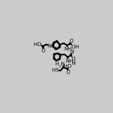 NC(CS)C(=O)O.NC(Cc1ccccc1)C(=O)O.NC(Cc1ccccc1)C(=O)O.NCC(=O)O